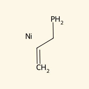 C=CCP.[Ni]